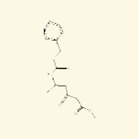 COC(=O)CC(=O)CC(C)NC(=O)OCc1ccccc1